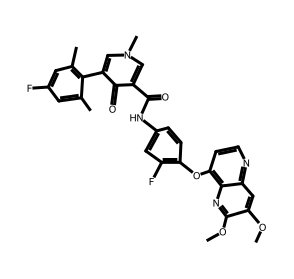 COc1cc2nccc(Oc3ccc(NC(=O)c4cn(C)cc(-c5c(C)cc(F)cc5C)c4=O)cc3F)c2nc1OC